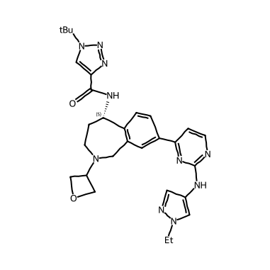 CCn1cc(Nc2nccc(-c3ccc4c(c3)CN(C3COC3)CC[C@@H]4NC(=O)c3cn(C(C)(C)C)nn3)n2)cn1